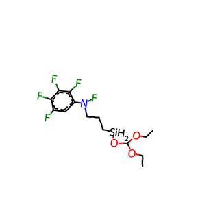 CCOC(OCC)O[SiH2]CCCN(F)c1cc(F)c(F)c(F)c1F